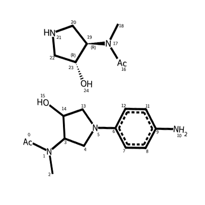 CC(=O)N(C)C1CN(c2ccc(N)cc2)CC1O.CC(=O)N(C)[C@@H]1CNC[C@H]1O